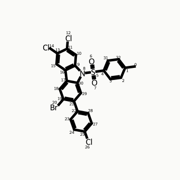 Cc1ccc(S(=O)(=O)n2c3cc(Cl)c(Cl)cc3c3cc(Br)c(-c4ccc(Cl)cc4)cc32)cc1